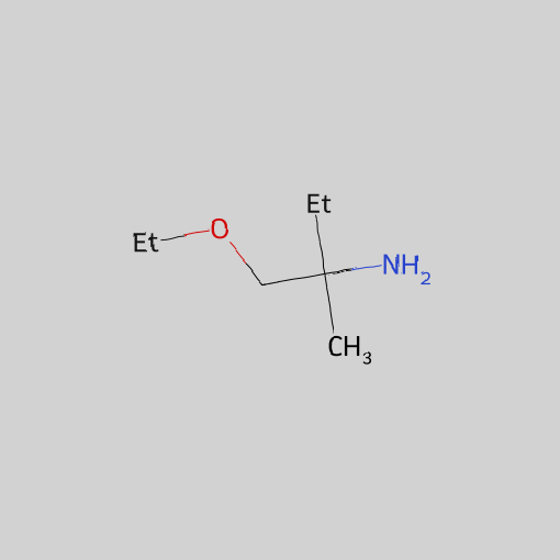 CCOCC(C)(N)CC